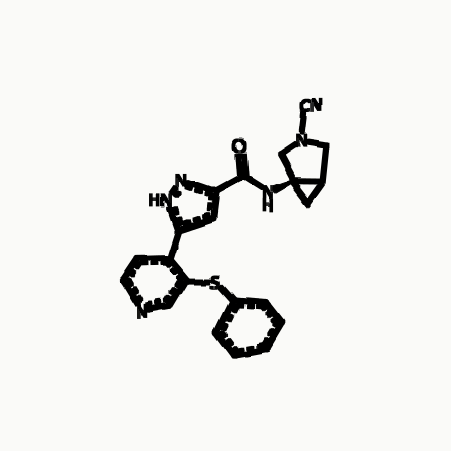 N#CN1CC2C[C@]2(NC(=O)c2cc(-c3ccncc3Sc3ccccc3)[nH]n2)C1